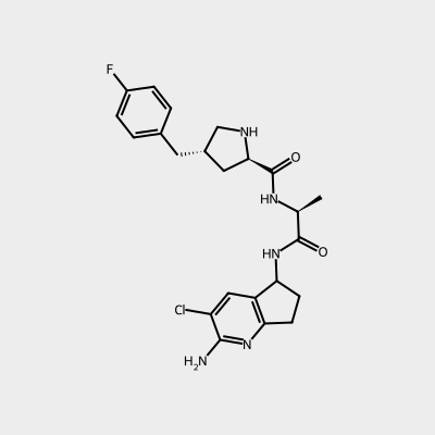 C[C@H](NC(=O)[C@H]1C[C@H](Cc2ccc(F)cc2)CN1)C(=O)NC1CCc2nc(N)c(Cl)cc21